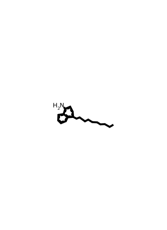 CCCCCCCCCCc1ccc(N)c2ccccc12